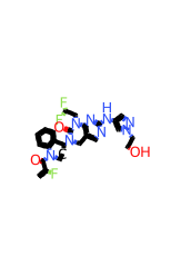 C=C(F)C(=O)N1CC[C@H](N2Cc3cnc(Nc4cnn(CCO)c4)nc3N(CC(F)F)C2=O)c2ccccc21